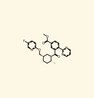 COC(=O)c1ccc(-c2ncccn2)c(C(=O)N2C[C@H](COc3ccc(F)cn3)CC[C@H]2C)c1